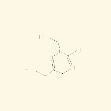 CCC1=NN(CC)C(C)=NC1